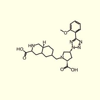 COc1ccccc1-c1nnn([C@H]2C[C@@H](C(=O)O)N(CC3CC[C@H]4CNC(C(=O)O)CC4C3)C2)n1